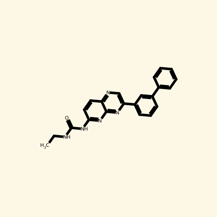 CCNC(=O)Nc1ccc2ncc(-c3cccc(-c4ccccc4)c3)nc2n1